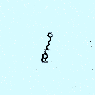 O=C(CCCCC1CCSS1)Oc1ccc2[nH]ccc2c1